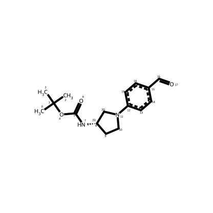 CC(C)(C)OC(=O)N[C@H]1CCN(c2ccc(C=O)cc2)C1